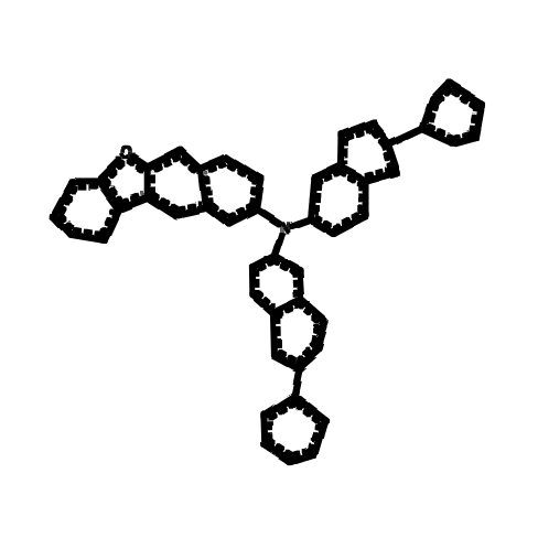 c1ccc(-c2ccc3cc(N(c4ccc5cc(-c6ccccc6)ccc5c4)c4ccc5cc6oc7ccccc7c6cc5c4)ccc3c2)cc1